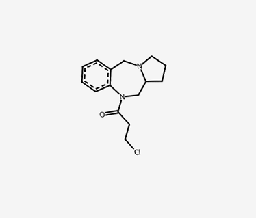 O=C(CCCl)N1CC2CCCN2Cc2ccccc21